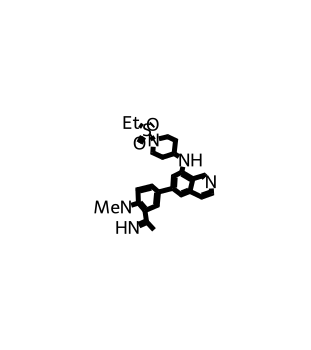 CCS(=O)(=O)N1CCC(Nc2cc(-c3ccc(NC)c(C(C)=N)c3)cc3ccncc23)CC1